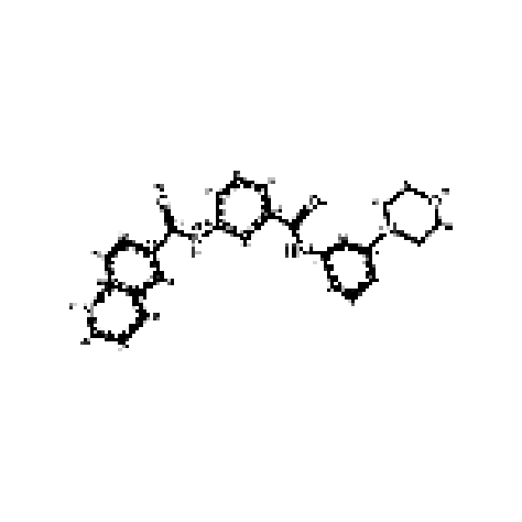 O=C(Nc1cccc(N2CCOCC2)c1)c1cccc(NC(=O)c2ccc3ncccc3c2)c1